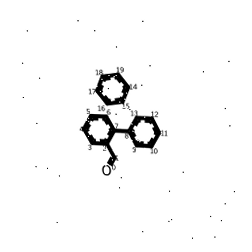 O=Cc1ccccc1-c1ccccc1.c1ccccc1